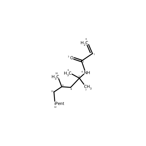 C=CC(=O)NC(C)(C)CC(C)CC(C)CCC